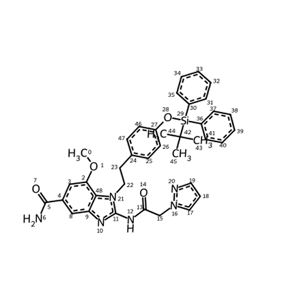 COc1cc(C(N)=O)cc2nc(NC(=O)Cn3cccn3)n(CCc3ccc(O[Si](c4ccccc4)(c4ccccc4)C(C)(C)C)cc3)c12